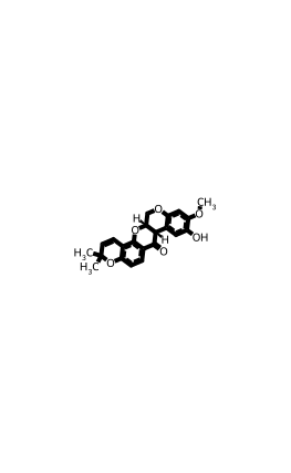 COc1cc2c(cc1O)[C@@H]1C(=O)c3ccc4c(c3O[C@@H]1CO2)C=CC(C)(C)O4